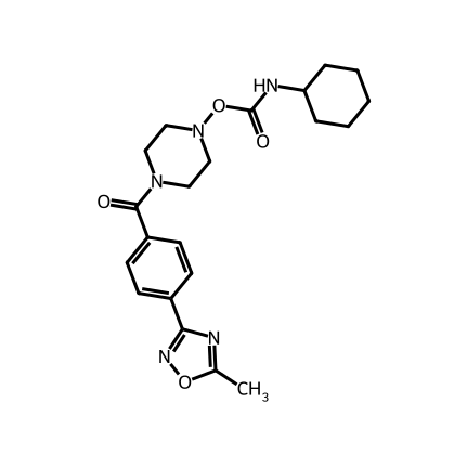 Cc1nc(-c2ccc(C(=O)N3CCN(OC(=O)NC4CCCCC4)CC3)cc2)no1